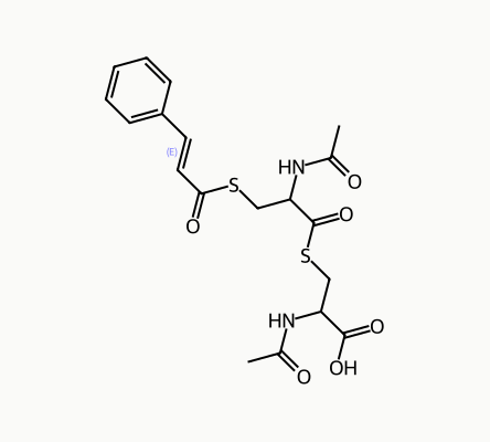 CC(=O)NC(CSC(=O)C(CSC(=O)/C=C/c1ccccc1)NC(C)=O)C(=O)O